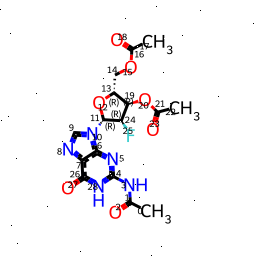 CC(=O)Nc1nc2c(ncn2[C@@H]2O[C@H](COC(C)=O)[C@@H](OC(C)=O)[C@H]2F)c(=O)[nH]1